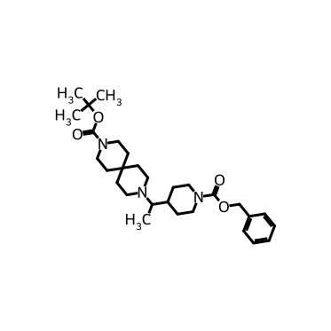 CC(C1CCN(C(=O)OCc2ccccc2)CC1)N1CCC2(CCN(C(=O)OC(C)(C)C)CC2)CC1